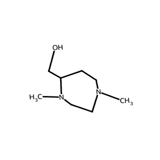 CN1CCC(CO)N(C)CC1